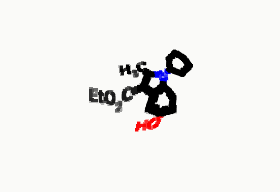 CCOC(=O)C1c2cc(O)ccc2N(C2CCCCC2)C1C